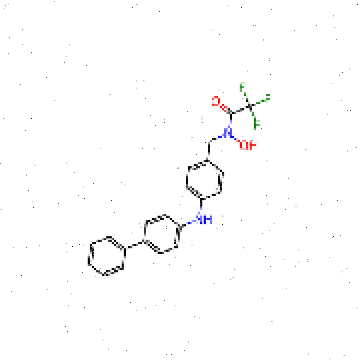 O=C(N(O)Cc1ccc(Nc2ccc(-c3ccccc3)cc2)cc1)C(F)(F)F